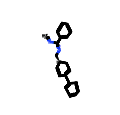 C=N/C(=N\C[C@H]1C=CC(c2ccccc2)=CC1)c1ccccc1